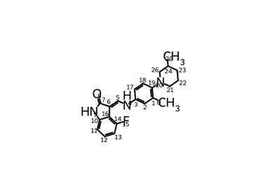 Cc1cc(N/C=C2/C(=O)Nc3cccc(F)c32)ccc1N1CCCC(C)C1